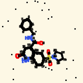 O=C(NCc1ccccc1)c1cc(=O)[nH]c2ccc(S(=O)(=O)N3CCCC3)cc12